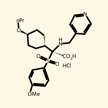 CCCO[C@H]1CC[C@H]([C@](NCc2ccncc2)(C(=O)O)S(=O)(=O)c2ccc(OC)cc2)CC1.Cl